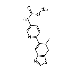 CC1Cc2scnc2C=C1c1ccc(NC(=O)OC(C)(C)C)cn1